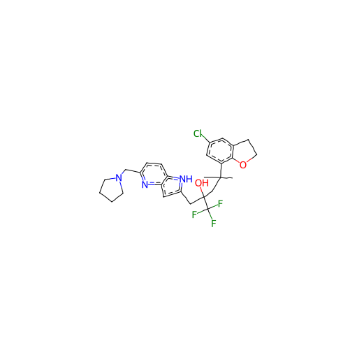 CC(C)(CC(O)(Cc1cc2nc(CN3CCCC3)ccc2[nH]1)C(F)(F)F)c1cc(Cl)cc2c1OCC2